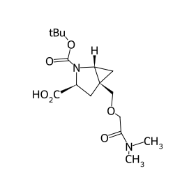 CN(C)C(=O)COC[C@@]12C[C@@H](C(=O)O)N(C(=O)OC(C)(C)C)[C@@H]1C2